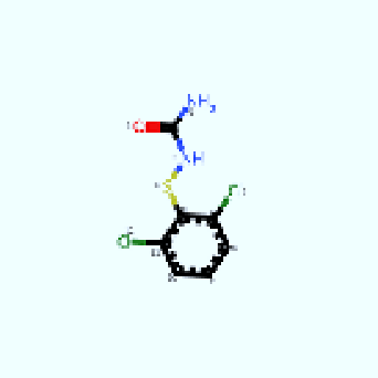 NC(=O)NSc1c(Cl)cccc1Cl